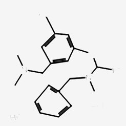 CCC(Oc1cc(Cl)cc(CN(C)C)c1)N(C)Cc1ccccc1.Cl.Cl